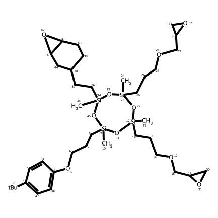 CC(C)(C)c1ccc(OCCC[Si]2(C)O[Si](C)(CCCOCC3CO3)O[Si](C)(CCCOCC3CO3)O[Si](C)(CCC3CCC4OC4C3)O2)cc1